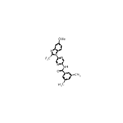 COc1ccc2c(c1)nc(C(F)(F)F)n2-c1cnc(NC(=O)c2cc(C)cc(C)c2)cn1